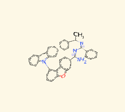 CC(/N=C(\N=C(/N)c1ccc2c(c1)oc1cccc(-n3c4ccccc4c4ccccc43)c12)c1ccccc1)c1ccccc1